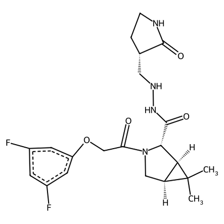 CC1(C)[C@@H]2[C@@H](C(=O)NNC[C@@H]3CCNC3=O)N(C(=O)COc3cc(F)cc(F)c3)C[C@@H]21